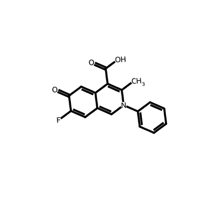 Cc1c(C(=O)O)c2cc(=O)c(F)cc-2cn1-c1ccccc1